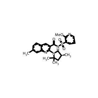 COc1ncccc1S(=O)(=O)NC(=O)c1cc2ccc(C)cc2nc1N1C[C@@H](C)CC1(C)C